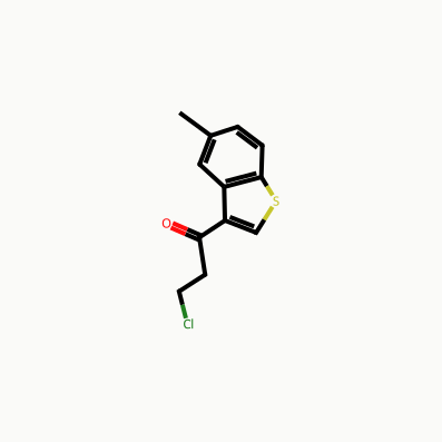 Cc1ccc2scc(C(=O)CCCl)c2c1